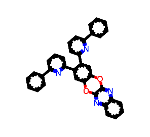 c1ccc(-c2cccc(-c3cc4c(cc3-c3cccc(-c5ccccc5)n3)Oc3nc5ccccc5nc3O4)n2)cc1